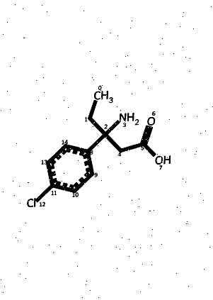 CCC(N)(CC(=O)O)c1ccc(Cl)cc1